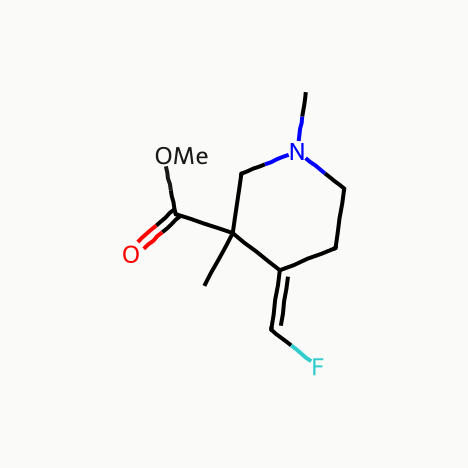 COC(=O)C1(C)CN(C)CC/C1=C\F